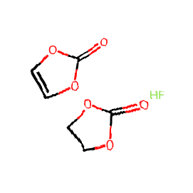 F.O=C1OCCO1.O=c1occo1